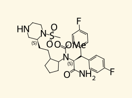 COC(=O)N(C1CCCC1CC[C@H]1CNCCN1S(C)(=O)=O)[C@H](C(N)=O)C(c1ccc(F)cc1)c1ccc(F)cc1